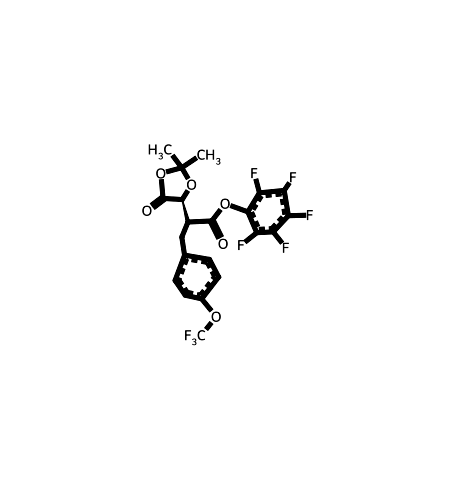 CC1(C)OC(=O)[C@H](C(Cc2ccc(OC(F)(F)F)cc2)C(=O)Oc2c(F)c(F)c(F)c(F)c2F)O1